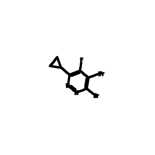 CC(C)c1c(Br)nnc(C2CC2)c1F